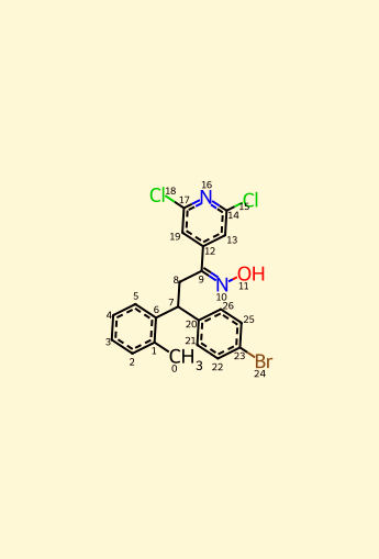 Cc1ccccc1C(CC(=NO)c1cc(Cl)nc(Cl)c1)c1ccc(Br)cc1